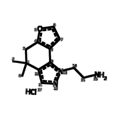 CC1(C)Cc2occc2-c2c1cnn2CCN.Cl